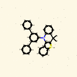 CC1(C)c2ccccc2N(c2cc(-c3ccccc3)cc(-c3ccccc3)c2)c2c1sc1ccccc21